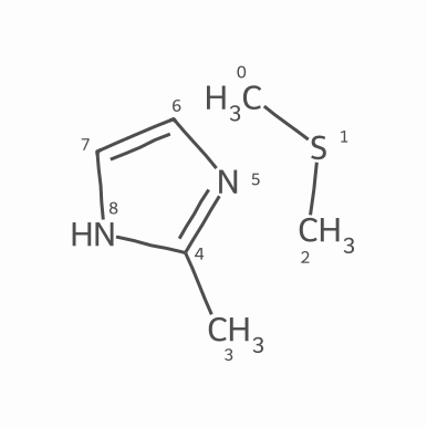 CSC.Cc1ncc[nH]1